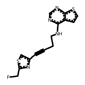 FCc1nc(C#CCCNc2ncnc3sccc23)cs1